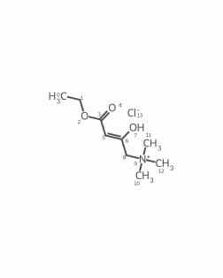 CCOC(=O)C=C(O)C[N+](C)(C)C.[Cl-]